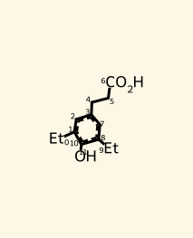 CCc1cc(CCC(=O)O)cc(CC)c1O